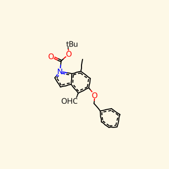 Cc1cc(OCc2ccccc2)c(C=O)c2ccn(C(=O)OC(C)(C)C)c12